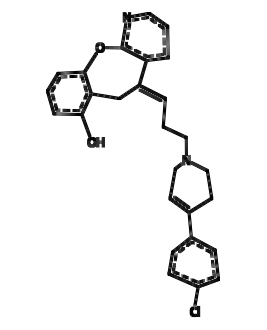 Oc1cccc2c1CC(=CCCN1CC=C(c3ccc(Cl)cc3)CC1)c1cccnc1O2